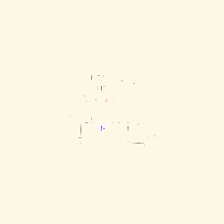 Cc1cccc(O[SiH](C)C)c1N=Cc1cccs1